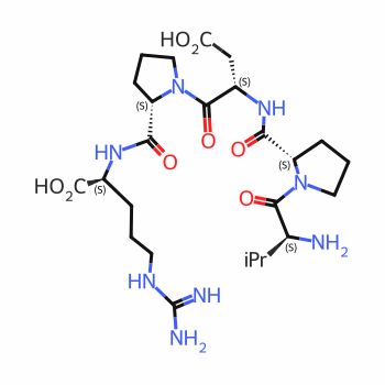 CC(C)[C@H](N)C(=O)N1CCC[C@H]1C(=O)N[C@@H](CC(=O)O)C(=O)N1CCC[C@H]1C(=O)N[C@@H](CCCNC(=N)N)C(=O)O